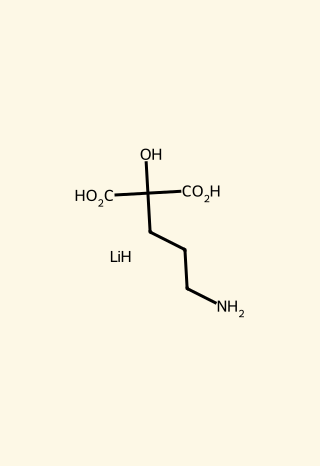 NCCCC(O)(C(=O)O)C(=O)O.[LiH]